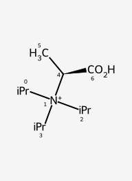 CC(C)[N+](C(C)C)(C(C)C)[C@@H](C)C(=O)O